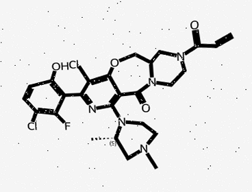 C=CC(=O)N1CCN2C(=O)c3c(N4CCN(C)C[C@@H]4C)nc(-c4c(O)ccc(Cl)c4F)c(Cl)c3OCC2C1